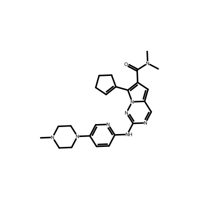 CN1CCN(c2ccc(Nc3ncc4cc(C(=O)N(C)C)c(C5=CCCC5)n4n3)nc2)CC1